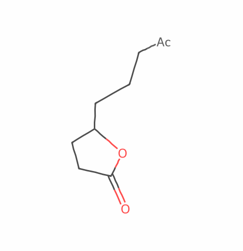 CC(=O)CCCC1CCC(=O)O1